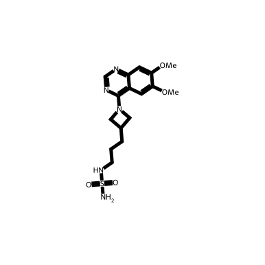 COc1cc2ncnc(N3CC(CCCNS(N)(=O)=O)C3)c2cc1OC